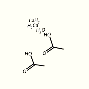 CC(=O)O.CC(=O)O.O.[CaH2].[CaH2]